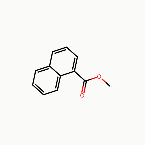 [CH2]OC(=O)c1cccc2ccccc12